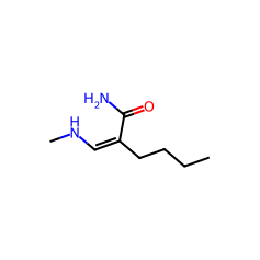 CCCCC(=CNC)C(N)=O